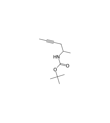 CC#CCC(C)NC(=O)OC(C)(C)C